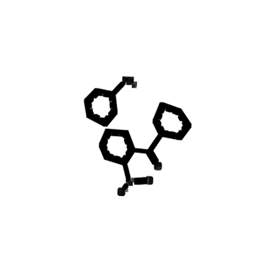 O=C(c1ccccc1)c1ccccc1[N+](=O)[O-].Pc1ccccc1